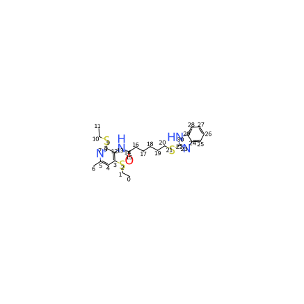 CCSc1cc(C)nc(SCC)c1NC(=O)CCCCCSc1nc2ccccc2[nH]1